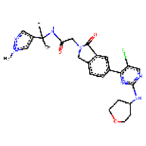 Cn1cc(C(C)(C)NC(=O)CN2Cc3ccc(-c4nc(NC5CCOCC5)ncc4Cl)cc3C2=O)cn1